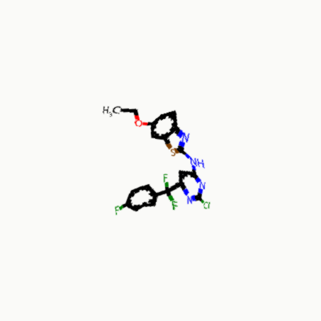 CCOc1ccc2nc(Nc3cc(C(F)(F)c4ccc(F)cc4)nc(Cl)n3)sc2c1